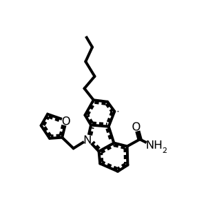 CCCCCc1c[c]c2c3c(C(N)=O)cccc3n(Cc3ccco3)c2c1